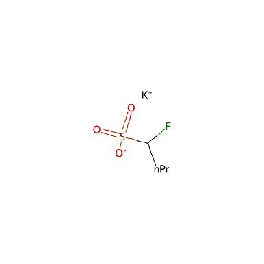 CCCC(F)S(=O)(=O)[O-].[K+]